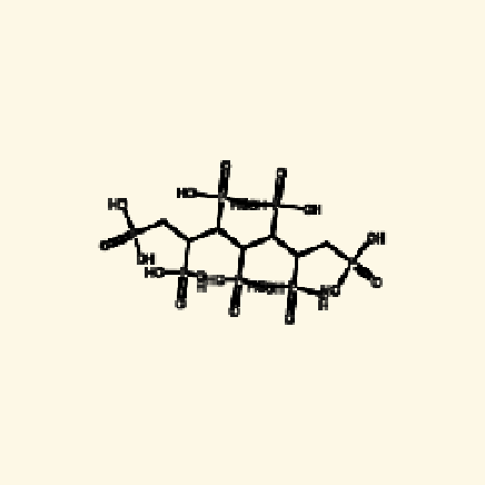 O=P(O)(O)CC(C(C(C(C(CP(=O)(O)O)P(=O)(O)O)P(=O)(O)O)P(=O)(O)O)P(=O)(O)O)P(=O)(O)O